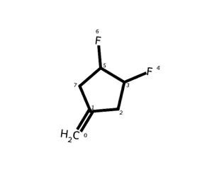 C=C1CC(F)C(F)C1